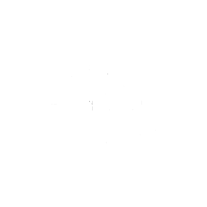 O=CC1COCC(CO)(c2cccc(Br)c2)N1